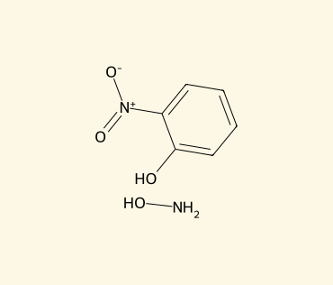 NO.O=[N+]([O-])c1ccccc1O